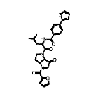 CC(C)CC(NC(=O)c1ccc(-c2cccs2)cc1)C(=O)N1CCC2C1C(=O)CN2C(=O)c1ccco1